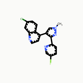 Cn1cc(-c2ccnc3cc(Cl)ccc23)c(-c2ccc(F)cn2)n1